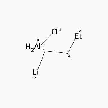 [AlH2][Cl].[Li][CH2]CCC